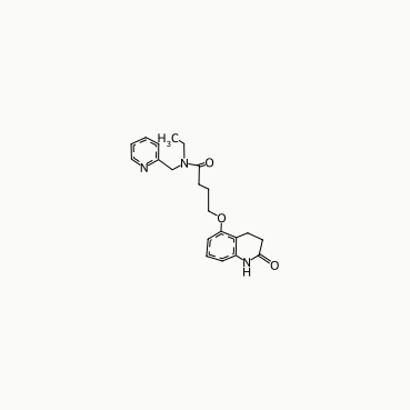 CCN(Cc1ccccn1)C(=O)CCCOc1cccc2c1CCC(=O)N2